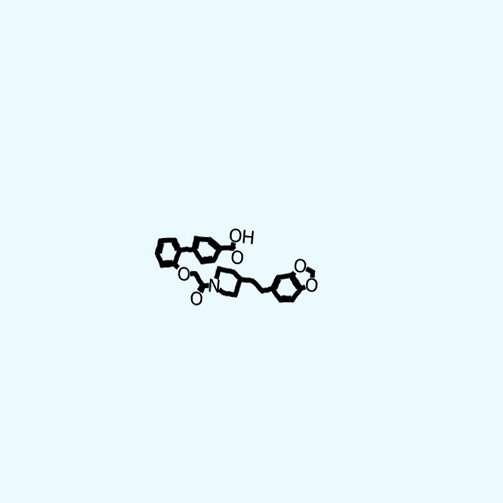 O=C(O)c1ccc(-c2ccccc2OCC(=O)N2CCC(CCc3ccc4c(c3)OCO4)CC2)cc1